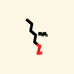 CCCCCOO.[MgH2]